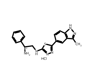 Cc1n[nH]c2ccc(-c3nnc(NC[C@@H](N)c4ccccc4)s3)cc12.Cl